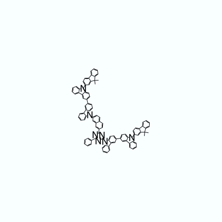 CC1(C)c2ccccc2-c2ccc(-n3c4ccccc4c4cc(-c5ccc6c(c5)c5ccccc5n6-c5ccc6ccc(-c7nc(-c8ccccc8)nc(-n8c9ccccc9c9cc(-c%10ccc%11c(c%10)c%10ccccc%10n%11-c%10ccc%11c(c%10)C(C)(C)c%10ccccc%10-%11)ccc98)n7)cc6c5)ccc43)cc21